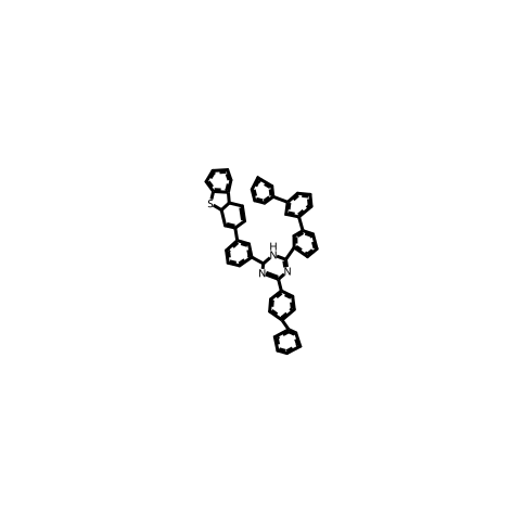 C1=CC2c3ccccc3SC2C=C1c1cccc(C2N=C(c3ccc(-c4ccccc4)cc3)N=C(c3cccc(-c4cccc(-c5ccccc5)c4)c3)N2)c1